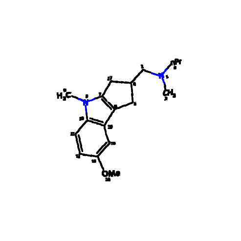 CCCN(C)CC1Cc2c(n(C)c3ccc(OC)cc23)C1